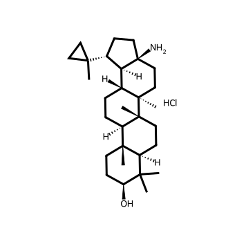 CC1([C@@H]2CC[C@]3(N)CC[C@]4(C)[C@H](CC[C@@H]5[C@@]6(C)CC[C@H](O)C(C)(C)[C@@H]6CC[C@]54C)[C@@H]23)CC1.Cl